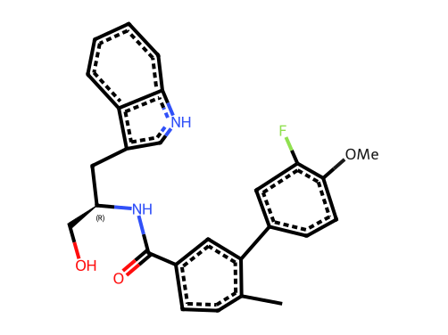 COc1ccc(-c2cc(C(=O)N[C@@H](CO)Cc3c[nH]c4ccccc34)ccc2C)cc1F